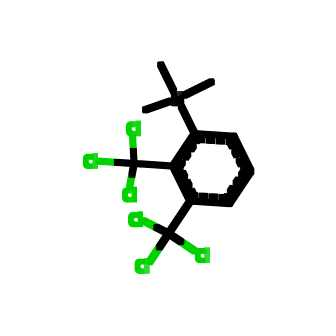 C[Si](C)(C)c1cccc(C(Cl)(Cl)Cl)c1C(Cl)(Cl)Cl